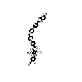 CC1(C)C(NC(=O)c2ccc(N3CCC(CN4CCN(c5ccc(C(=O)N[C@@H]6CCC(=O)NC6=O)nc5)CC4)CC3)nc2)C(C)(C)C1Oc1ccc(C#N)c(Cl)c1